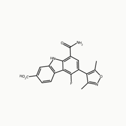 Cc1noc(C)c1-c1cc(C(N)=O)c2[nH]c3cc(C(=O)O)ccc3c2c1F